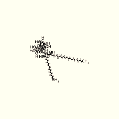 CCCCCCCCCCCCCCCCCCCCC(O)C(=O)N[C@@H](COP(=O)(O)O[C@H]1C(O)C(O)C(O)[C@@H](O)C1O[C@H]1O[C@H](CO)[C@@H](O)C(O)C1O)[C@H](O)CCCCCCCCCCCCCCC